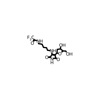 O=C1NC(=O)C(C2CC(O)C(CO)O2)=C1NCCCCCNC(=O)C(F)(F)F